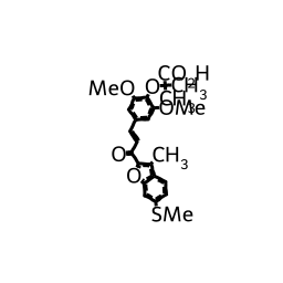 COc1cc(C=CC(=O)c2oc3cc(SC)ccc3c2C)cc(OC)c1OC(C)(C)C(=O)O